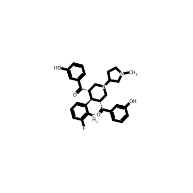 Cc1c(F)cccc1[C@@H]1[C@@H](C(=O)c2cccc(O)c2)CN(C2CCN(C)C2)C[C@H]1C(=O)c1cccc(O)c1